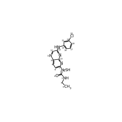 CCNC(=O)N(S)c1ccc2ncc(Nc3cccc(Cl)c3)nc2n1